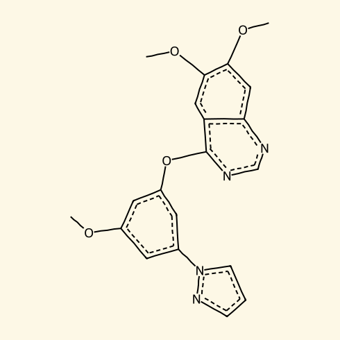 COc1cc(Oc2ncnc3cc(OC)c(OC)cc23)cc(-n2cccn2)c1